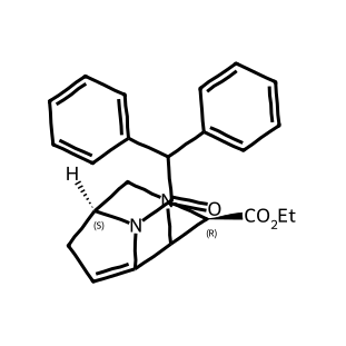 CCOC(=O)[C@H]1C2C3=CC[C@@H](CN21)N3C(=O)C(c1ccccc1)c1ccccc1